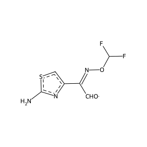 Nc1nc(C([C]=O)=NOC(F)F)cs1